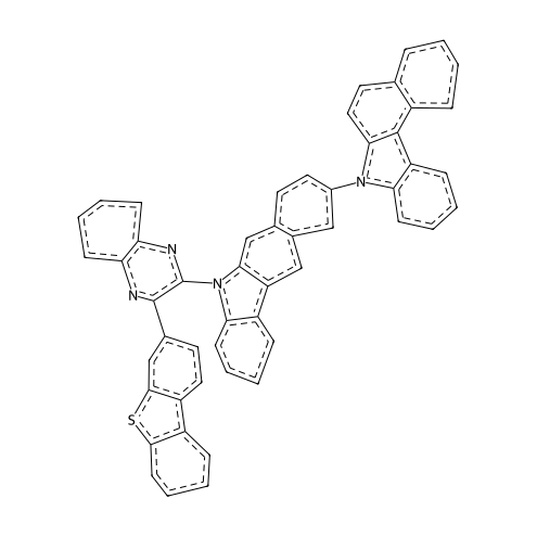 c1ccc2c(c1)ccc1c2c2ccccc2n1-c1ccc2cc3c(cc2c1)c1ccccc1n3-c1nc2ccccc2nc1-c1ccc2c(c1)sc1ccccc12